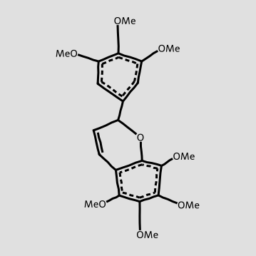 COc1cc(C2C=Cc3c(OC)c(OC)c(OC)c(OC)c3O2)cc(OC)c1OC